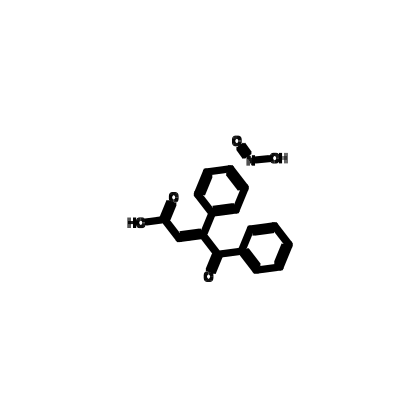 O=C(O)C=C(C(=O)c1ccccc1)c1ccccc1.O=NO